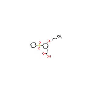 CCCCOc1cc(CC(=O)O)cc(S(=O)(=O)c2ccccc2)c1